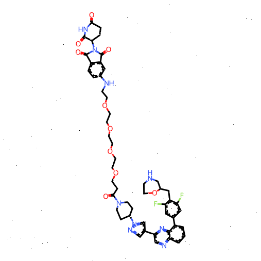 O=C1CCC(N2C(=O)c3ccc(NCCOCCOCCOCCOCCC(=O)N4CCC(n5cc(-c6cnc7cccc(-c8cc(F)c(CC9CNCCO9)c(F)c8)c7n6)cn5)CC4)cc3C2=O)C(=O)N1